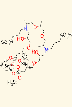 C[SiH2]O[Si](CCCOCC(O)CN(CCCS(=O)(=O)O)C(C)COCC(C)OCC(C)N(CCCS(=O)(=O)O)CC(O)COCCC[Si](O[SiH3])(O[SiH3])O[SiH2]C)(O[SiH3])O[SiH3]